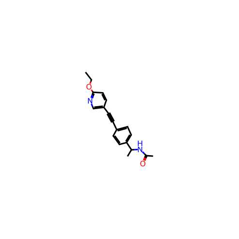 CCOc1ccc(C#Cc2ccc(C(C)NC(C)=O)cc2)cn1